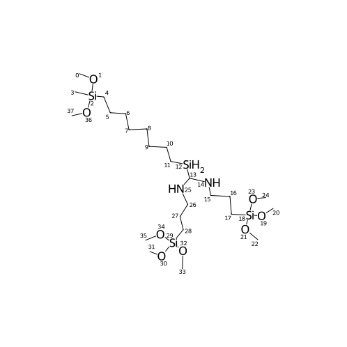 CO[Si](C)(CCCCCCCC[SiH2]C(NCCC[Si](OC)(OC)OC)NCCC[Si](OC)(OC)OC)OC